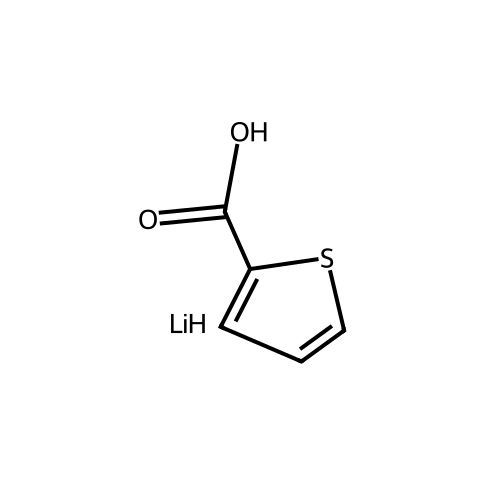 O=C(O)c1cccs1.[LiH]